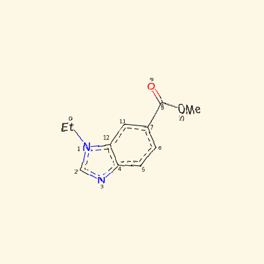 CCn1cnc2ccc(C(=O)OC)cc21